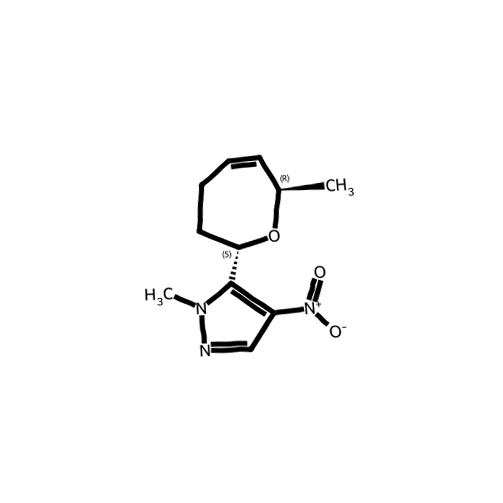 C[C@@H]1C=CCC[C@@H](c2c([N+](=O)[O-])cnn2C)O1